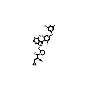 N#CC(=CC1CC1)C(=O)N1CCCC1Cn1nc(-c2ccc(Oc3cc(F)cc(F)c3)cc2F)c2c(N)ncnc21